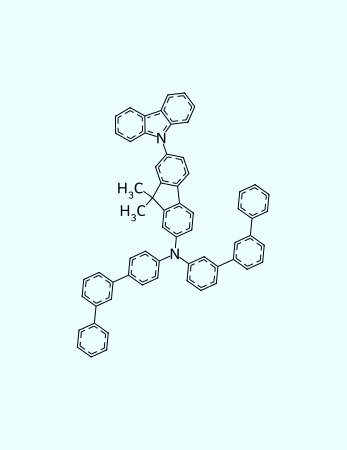 CC1(C)c2cc(N(c3ccc(-c4cccc(-c5ccccc5)c4)cc3)c3cccc(-c4cccc(-c5ccccc5)c4)c3)ccc2-c2ccc(-n3c4ccccc4c4ccccc43)cc21